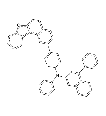 C1=CC(N(c2ccccc2)c2cc(-c3ccccc3)c3ccccc3c2)CC=C1c1ccc2ccc3oc4ccccc4c3c2c1